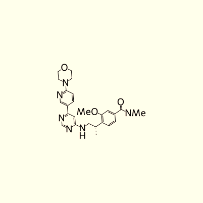 CNC(=O)c1ccc([C@H](C)CNc2cc(-c3ccc(N4CCOCC4)nc3)ncn2)c(OC)c1